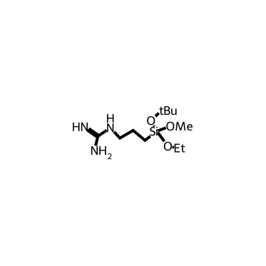 CCO[Si](CCCNC(=N)N)(OC)OC(C)(C)C